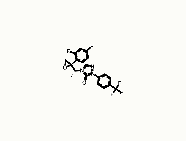 C[C@@H](n1cnn(-c2ccc(C(F)(F)F)cc2)c1=O)[C@@]1(c2ccc(F)cc2F)CO1